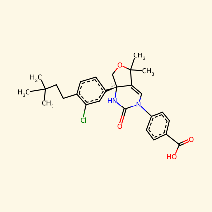 CC(C)(C)CCc1ccc([C@@]23COC(C)(C)C2=CN(c2ccc(C(=O)O)cc2)C(=O)N3)cc1Cl